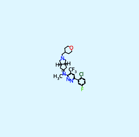 CN(c1nnc(-c2cc(F)ccc2Cl)cc1C(F)(F)F)[C@H]1C[C@@H]2CN(CC3CCOCC3)C[C@@H]2C1